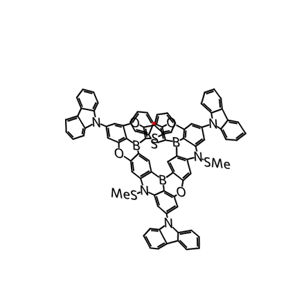 CSN1c2cc3c(cc2B2c4cc5c(cc4Oc4cc(-n6c7ccccc7c7ccccc76)cc1c42)N(SC)c1cc(-n2c4ccccc4c4ccccc42)cc2c1B5c1sc4ccccc4c1O2)B1c2sc4ccccc4c2Oc2cc(-n4c5ccccc5c5ccccc54)cc(c21)O3